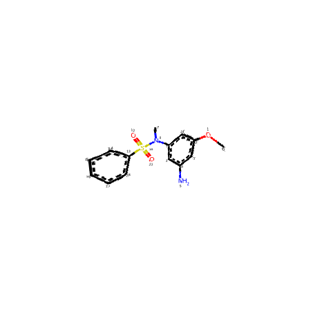 COc1cc(N)cc(N(C)S(=O)(=O)c2ccccc2)c1